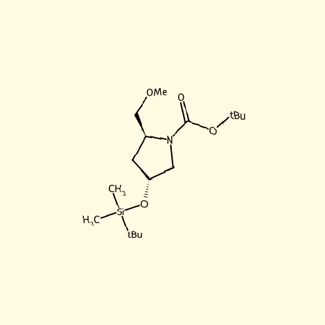 COC[C@@H]1C[C@@H](O[Si](C)(C)C(C)(C)C)CN1C(=O)OC(C)(C)C